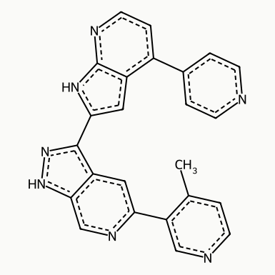 Cc1ccncc1-c1cc2c(-c3cc4c(-c5ccncc5)ccnc4[nH]3)n[nH]c2cn1